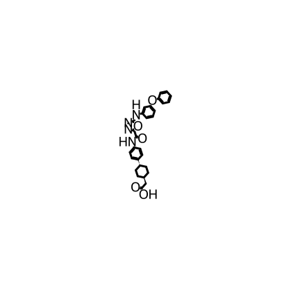 O=C(O)C[C@H]1CC[C@H](c2ccc(NC(=O)c3nnc(Nc4cccc(Oc5ccccc5)c4)o3)cc2)CC1